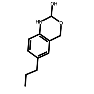 CCCc1ccc2c(c1)COC(O)N2